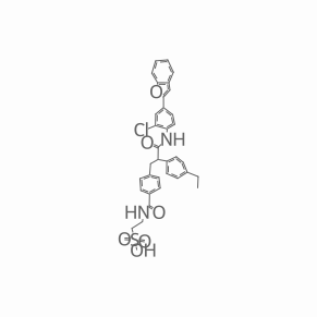 CCc1ccc(C(Cc2ccc(C(=O)NCCS(=O)(=O)O)cc2)C(=O)Nc2ccc(-c3cc4ccccc4o3)cc2Cl)cc1